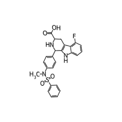 CN(c1ccc(C2NC(C(=O)O)Cc3c2[nH]c2cccc(F)c32)cc1)S(=O)(=O)c1ccccc1